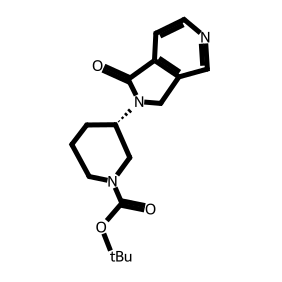 CC(C)(C)OC(=O)N1CCC[C@H](N2Cc3cnccc3C2=O)C1